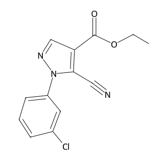 CCOC(=O)c1cnn(-c2cccc(Cl)c2)c1C#N